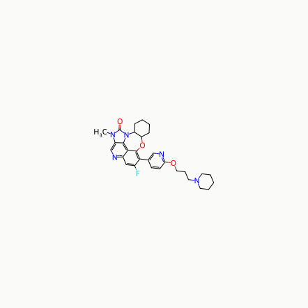 Cn1c(=O)n2c3c4c(c(-c5ccc(OCCCN6CCCCC6)nc5)c(F)cc4ncc31)OC1CCCCC12